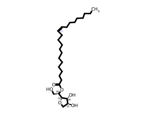 CCCCCCCC/C=C\CCCCCCCCCCCC(=O)O[C@H](CO)[C@H]1OC[C@H](O)[C@H]1O